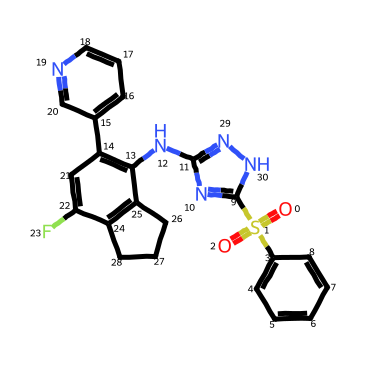 O=S(=O)(c1ccccc1)c1nc(Nc2c(-c3cccnc3)cc(F)c3c2CCC3)n[nH]1